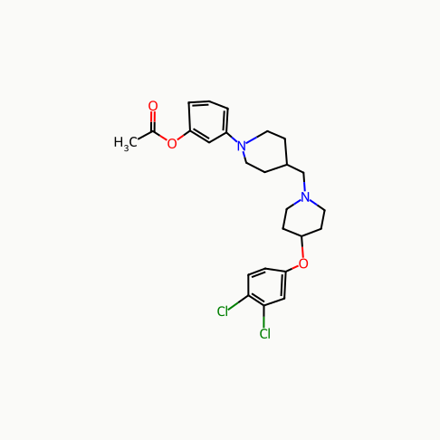 CC(=O)Oc1cccc(N2CCC(CN3CCC(Oc4ccc(Cl)c(Cl)c4)CC3)CC2)c1